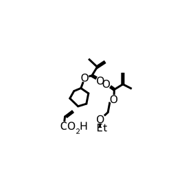 C=C(C)C(=O)OC1CCCCC1.C=C(C)C(=O)OCCOCC.C=CC(=O)O